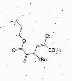 C=C(C(=O)OCCN)C(C=C(CC)C(=O)O)C(C)(C)C